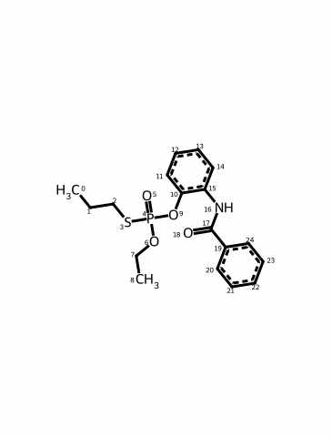 CCCSP(=O)(OCC)Oc1ccccc1NC(=O)c1ccccc1